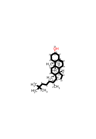 C[C@H](CCCC(C)(C)C)[C@H]1CC[C@H]2[C@@H]3CC=C4C[C@@H](O)CC[C@]4(C)[C@H]3CC[C@]12C